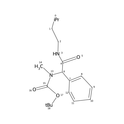 CC(C)CCNC(=O)C(c1ccccc1)N(C)C(=O)OC(C)(C)C